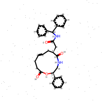 O=C(C[C@@H]1C/C=C/CCC(=O)O[C@H](c2ccccc2)CNC1=O)NC(c1ccccc1)c1ccccc1